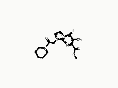 COC(=O)c1nc2n(CC(=O)N3CCCCC3)ccn2c(=O)c1O